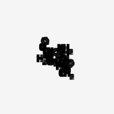 C=CC(=O)N[C@H]1CCC[C@H]1NC(=O)c1sc2c(N)ccc3c2c1C(N)C(=O)C3(N)c1ncc(Oc2ccccc2)cn1